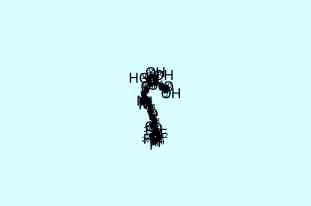 O=C(O)/C=C/[C@H]1O[C@H](OCCc2cn(CCOCCC(=O)Oc3c(F)c(F)c(F)c(F)c3F)nn2)[C@@H](O)[C@@H](O)[C@@H]1O